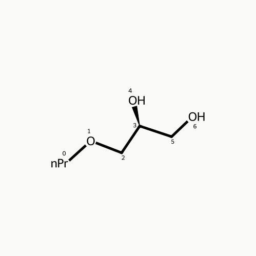 CCCOC[C@@H](O)CO